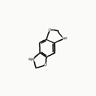 c1c2c(cc3c1OCN3)OCN2